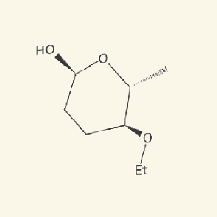 CCO[C@H]1CC[C@@H](O)O[C@@H]1C